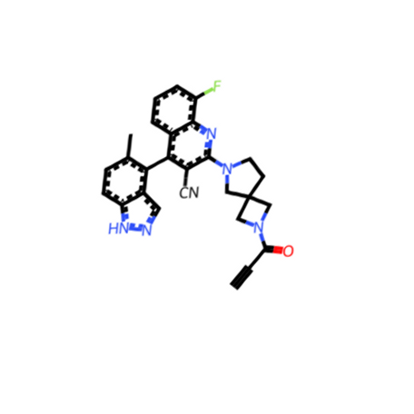 C#CC(=O)N1CC2(CCN(c3nc4c(F)cccc4c(-c4c(C)ccc5[nH]ncc45)c3C#N)C2)C1